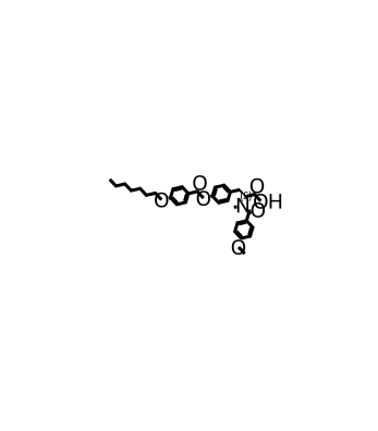 CCCCCCCOc1ccc(C(=O)Oc2ccc(C[C@@H](C(=O)O)N(C)C(=O)c3ccc(OC)cc3)cc2)cc1